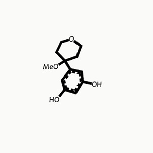 COC1(c2cc(O)cc(O)c2)CCOCC1